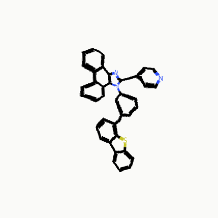 c1cc(-c2cccc3c2sc2ccccc23)cc(-n2c(-c3ccncc3)nc3c4ccccc4c4ccccc4c32)c1